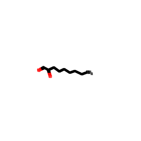 CCCCCCCC(=O)[C]=O